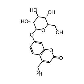 [2H]Cc1cc(=O)oc2cc(OC3O[C@H](CO)[C@@H](O)[C@H](O)[C@H]3O)ccc12